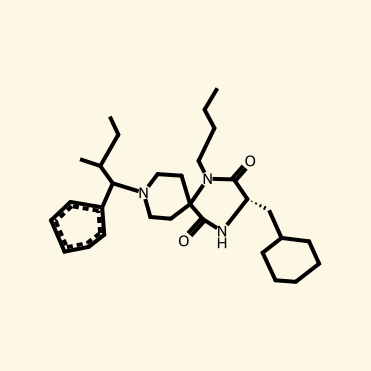 CCCCN1C(=O)[C@H](CC2CCCCC2)NC(=O)C12CCN(C(c1ccccc1)C(C)CC)CC2